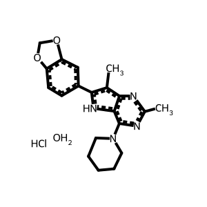 Cc1nc(N2CCCCC2)c2[nH]c(-c3ccc4c(c3)OCO4)c(C)c2n1.Cl.O